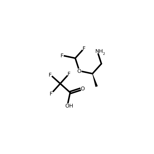 C[C@H](CN)OC(F)F.O=C(O)C(F)(F)F